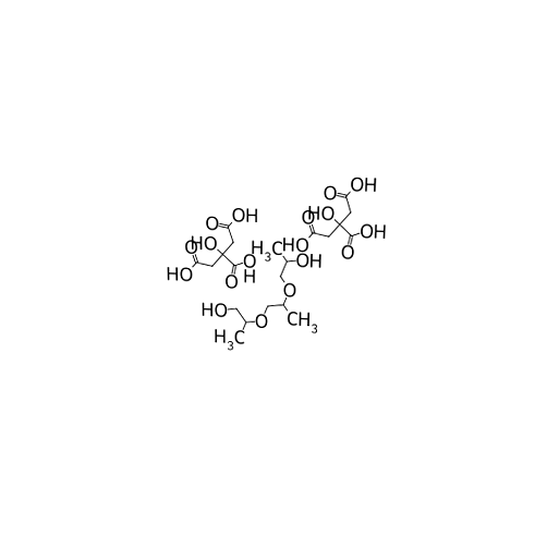 CC(O)COC(C)COC(C)CO.O=C(O)CC(O)(CC(=O)O)C(=O)O.O=C(O)CC(O)(CC(=O)O)C(=O)O